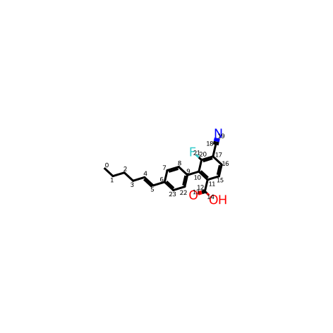 CCCC/C=C/c1ccc(-c2c(C(=O)O)ccc(C#N)c2F)cc1